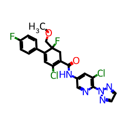 COCC1(F)CC(C(=O)Nc2cnc(-n3nccn3)c(Cl)c2)=C(Cl)C=C1c1ccc(F)cc1